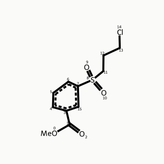 COC(=O)c1cccc(S(=O)(=O)CCCCl)c1